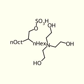 CCCCCCCCC(CCCCCC)COS(=O)(=O)O.OCCN(CCO)CCO